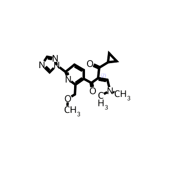 COCc1nc(-n2cncn2)ccc1C(=O)/C(=C\N(C)C)C(=O)C1CC1